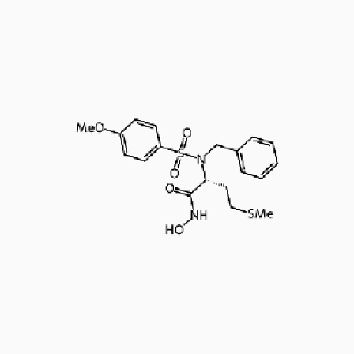 COc1ccc(S(=O)(=O)N(Cc2ccccc2)[C@H](CCSC)C(=O)NO)cc1